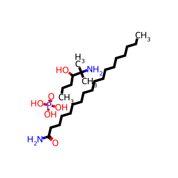 CCCC(O)C(C)(C)N.CCCCCCCCCCCCCCCCCC(N)=O.O=P(O)(O)O